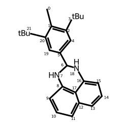 Cc1c(C(C)(C)C)cc(C2Nc3cccc4cccc(c34)N2)cc1C(C)(C)C